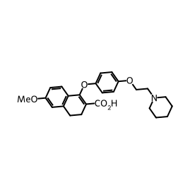 COc1ccc2c(c1)CCC(C(=O)O)=C2Oc1ccc(OCCN2CCCCC2)cc1